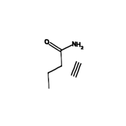 C#C.CCCC(N)=O